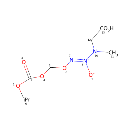 CC(C)OC(=O)OCON=[N+]([O-])N(C)CC(=O)O